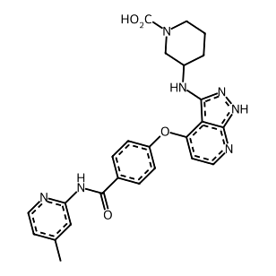 Cc1ccnc(NC(=O)c2ccc(Oc3ccnc4[nH]nc(NC5CCCN(C(=O)O)C5)c34)cc2)c1